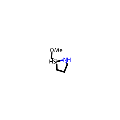 COC[SiH]1CCCN1